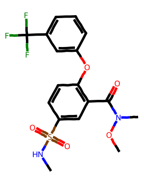 CNS(=O)(=O)c1ccc(Oc2cccc(C(F)(F)F)c2)c(C(=O)N(C)OC)c1